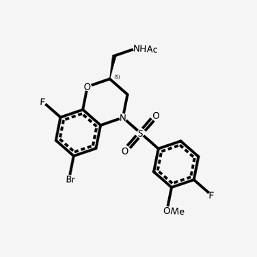 COc1cc(S(=O)(=O)N2C[C@H](CNC(C)=O)Oc3c(F)cc(Br)cc32)ccc1F